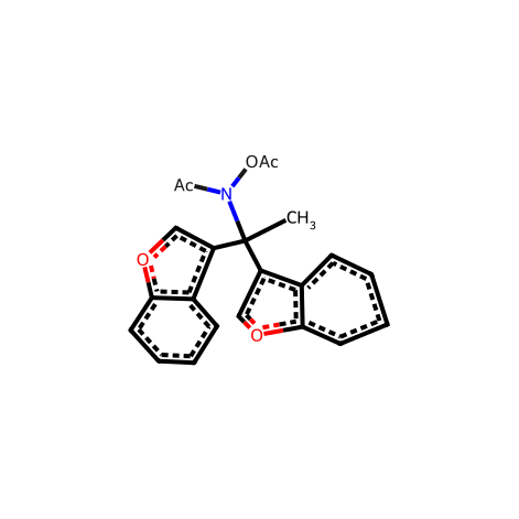 CC(=O)ON(C(C)=O)C(C)(c1coc2ccccc12)c1coc2ccccc12